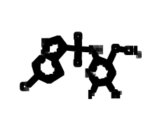 COc1cc(Br)c(F)nc1NS(=O)(=O)c1cnn2cc(Cl)ccc12